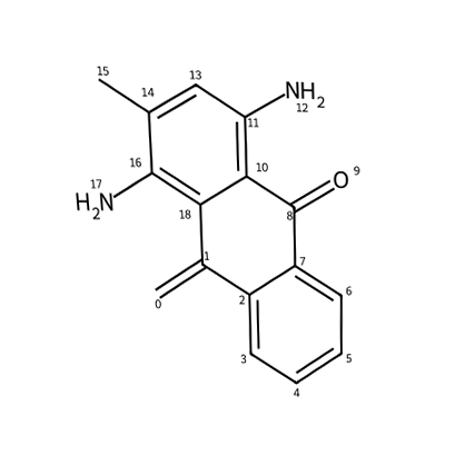 C=C1c2ccccc2C(=O)c2c(N)cc(C)c(N)c21